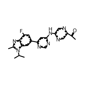 CC(=O)c1cnc(Nc2cc(-c3cc(F)c4nc(C)n(C(C)C)c4c3)ncn2)cn1